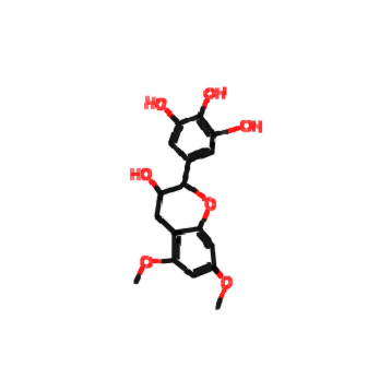 COc1cc(OC)c2c(c1)OC(c1cc(O)c(O)c(O)c1)C(O)C2